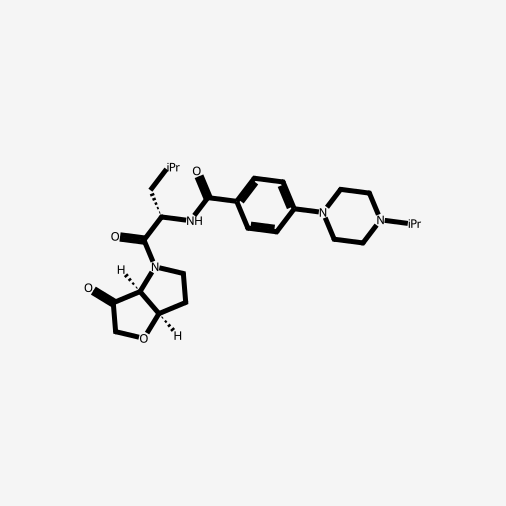 CC(C)C[C@H](NC(=O)c1ccc(N2CCN(C(C)C)CC2)cc1)C(=O)N1CC[C@H]2OCC(=O)[C@H]21